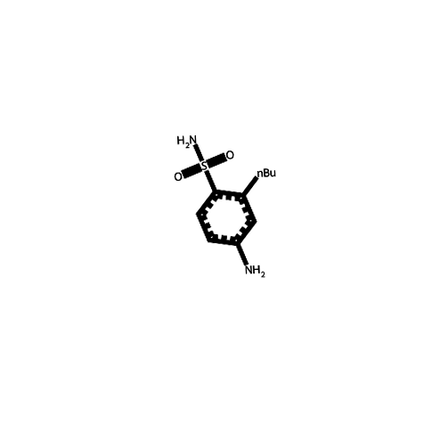 CCCCc1cc(N)ccc1S(N)(=O)=O